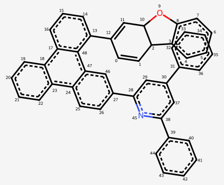 C1=CC2c3ccccc3OC2C=C1c1cccc2c3ccccc3c3ccc(-c4cc(-c5ccccc5)cc(-c5ccccc5)n4)cc3c12